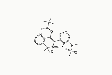 Cc1c(C2=C(OC(=O)C(C)(C)C)c3ncccc3C(C)(C)S2(=O)=O)cccc1N(C)S(C)(=O)=O